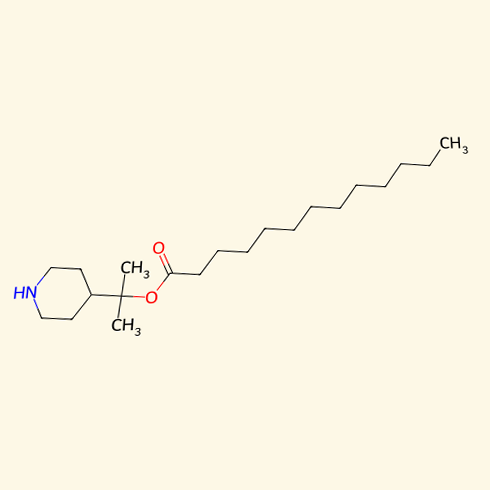 CCCCCCCCCCCCC(=O)OC(C)(C)C1CCNCC1